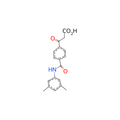 Cc1cc(C)cc(NC(=O)c2ccc(C(=O)CC(=O)O)cc2)c1